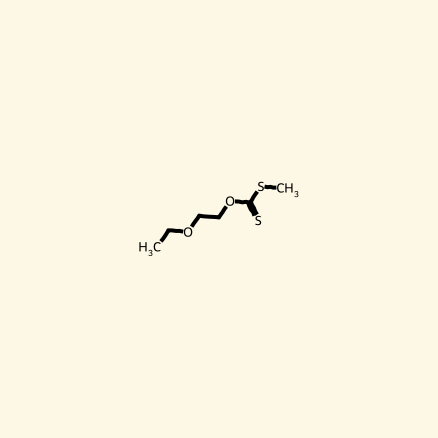 CCOCCOC(=S)SC